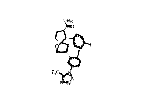 COC(=O)[C@H]1CC[C@@]2(C[C@H](c3cc(-n4nnnc4C(F)(F)F)ccc3C)CO2)[C@@H]1c1ccc(F)cc1